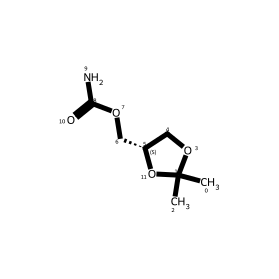 CC1(C)OC[C@@H](COC(N)=O)O1